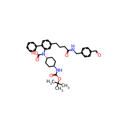 CC(C)(C)OC(=O)N[C@H]1CC[C@H](N(C(=O)O)c2cc(CCCC(=O)NCc3ccc(C=O)cc3)ccc2-c2ccccc2)CC1